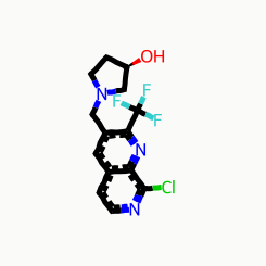 O[C@@H]1CCN(Cc2cc3ccnc(Cl)c3nc2C(F)(F)F)C1